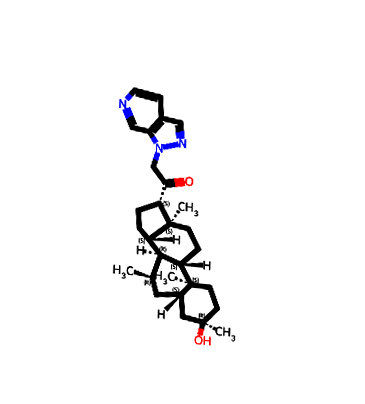 C[C@@H]1C[C@H]2C[C@](C)(O)CC[C@]2(C)[C@H]2CC[C@]3(C)[C@@H](C(=O)Cn4ncc5ccncc54)CC[C@H]3[C@H]12